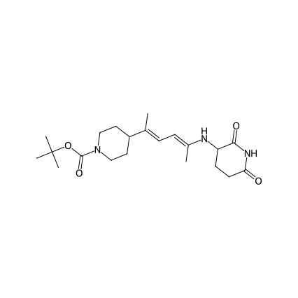 C/C(=C\C=C(/C)C1CCN(C(=O)OC(C)(C)C)CC1)NC1CCC(=O)NC1=O